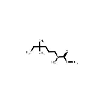 CCC(C)(C)CCCN(O)C(=O)OC